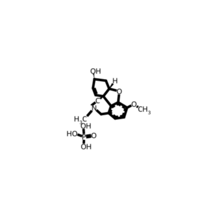 COc1ccc2c3c1O[C@H]1C[C@@H](O)C=C[C@@]31CCN(C)C2.O=P(O)(O)O